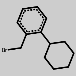 BrCc1ccccc1C1CCCCC1